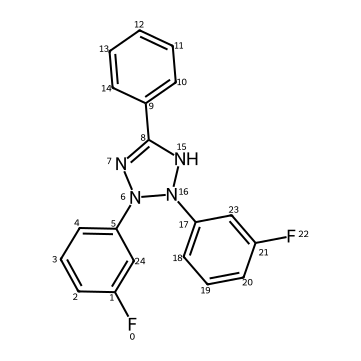 Fc1cccc(N2N=C(c3ccccc3)NN2c2cccc(F)c2)c1